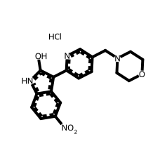 Cl.O=[N+]([O-])c1ccc2[nH]c(O)c(-c3ccc(CN4CCOCC4)cn3)c2c1